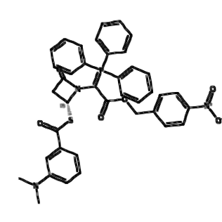 CN(C)c1cccc(C(=O)S[C@@H]2CC(=O)N2C(C(=O)OCc2ccc([N+](=O)[O-])cc2)=P(c2ccccc2)(c2ccccc2)c2ccccc2)c1